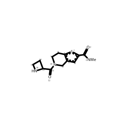 CNC(=O)c1cc2c(s1)CCN(C(=O)C1CCN1)C2